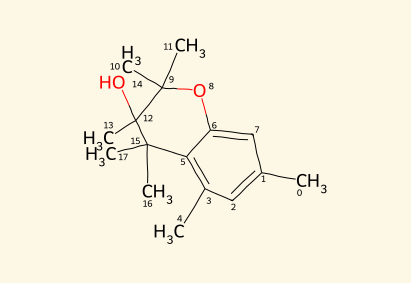 Cc1cc(C)c2c(c1)OC(C)(C)C(C)(O)C2(C)C